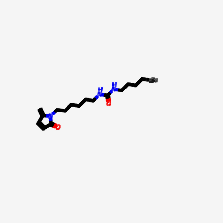 C=C1C=CC(=O)N1CCCCCCNC(=O)NCCCCC(C)(C)C